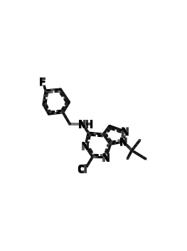 CC(C)(C)n1ncc2c(NCc3ccc(F)cc3)nc(Cl)nc21